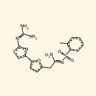 Cc1ccccc1S(=O)(=O)N=C(N)Cc1ccc(-c2csc(N=C(N)N)n2)o1